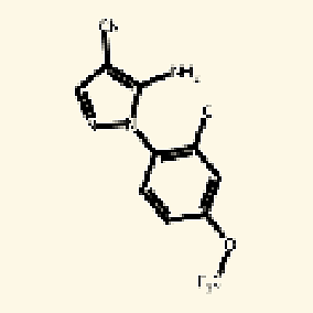 N#Cc1cnn(-c2ccc(OC(F)(F)F)cc2Cl)c1N